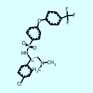 CN(C)C[C@@H](NS(=O)(=O)c1ccc(Oc2ccc(C(F)(F)F)cc2)cc1)c1ccc(Cl)cc1